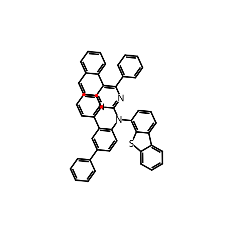 c1ccc(-c2ccc(N(c3nc(-c4ccccc4)c4c(ccc5ccccc54)n3)c3cccc4c3sc3ccccc34)c(-c3ccccc3)c2)cc1